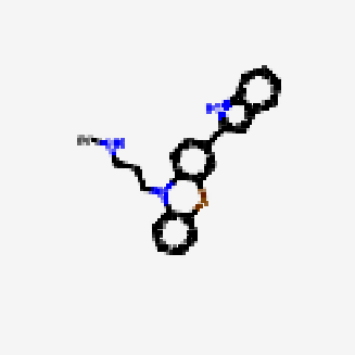 CC(C)NCCCN1c2ccccc2Sc2cc(-c3cc4ccccc4[nH]3)ccc21